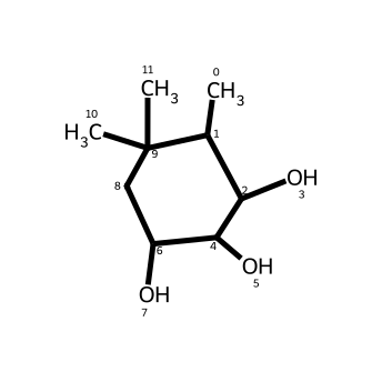 CC1C(O)C(O)C(O)CC1(C)C